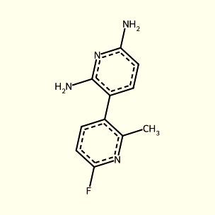 Cc1nc(F)ccc1-c1ccc(N)nc1N